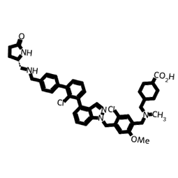 COc1cc(Cn2ncc3c(-c4cccc(-c5ccc(CNC[C@@H]6CCC(=O)N6)cc5)c4Cl)cccc32)c(Cl)cc1CN(C)CC1CCC(C(=O)O)CC1